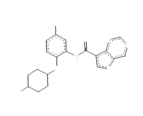 O=C(Nc1cc(Cl)ccc1OC1CCC(O)CC1)c1csc2cncnc12